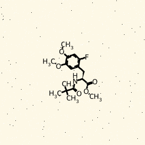 COC(=O)[C@H](Cc1cc(OC)c(OC)cc1F)NC(=O)C(C)(C)C